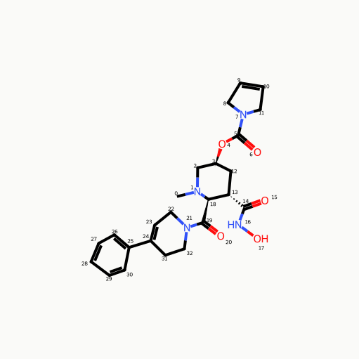 CN1C[C@@H](OC(=O)N2CC=CC2)C[C@H](C(=O)NO)[C@H]1C(=O)N1CC=C(c2ccccc2)CC1